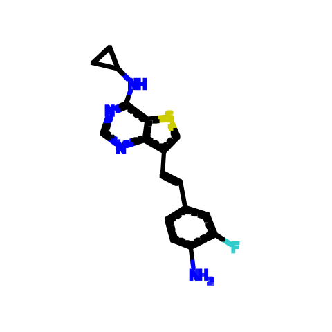 Nc1ccc(C=Cc2csc3c(NC4CC4)ncnc23)cc1F